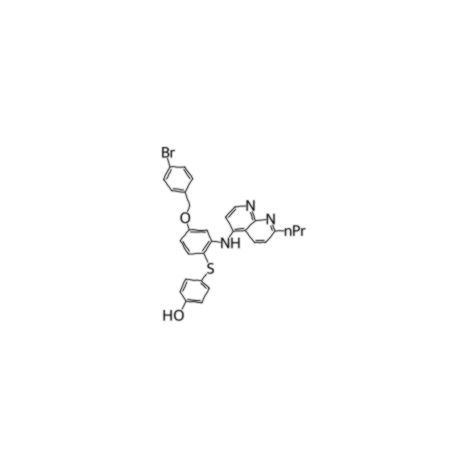 CCCc1ccc2c(Nc3cc(OCc4ccc(Br)cc4)ccc3Sc3ccc(O)cc3)ccnc2n1